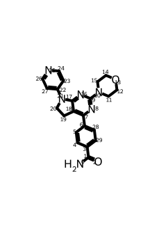 NC(=O)c1ccc(-c2nc(N3CCOCC3)nc3c2CCN3c2ccncc2)cc1